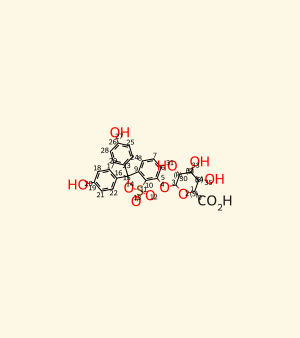 O=C(O)[C@H]1OC(Oc2cccc3c2S(=O)(=O)OC3(c2ccc(O)cc2)c2ccc(O)cc2)[C@H](O)[C@@H](O)[C@@H]1O